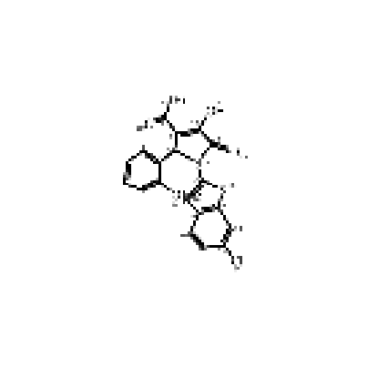 COc1ccccc1C1C(C(=O)C(C)(C)C)=C(O)C(=O)N1c1nc2ccc(Cl)cc2s1